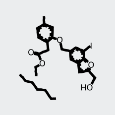 CCCCCCC.CCOC(=O)Cc1ccc(C)cc1OCc1cc(I)c2oc(CO)cc2c1